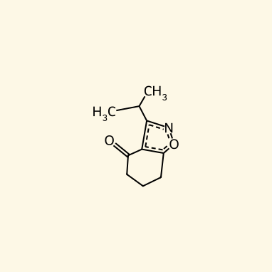 CC(C)c1noc2c1C(=O)CCC2